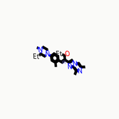 CCC(=O)/C(=C\c1ccc(N2CCN(C)C(CC)C2)cc1C)c1cn2cc(C)nc(C)c2n1